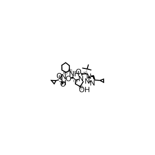 CC(C)(C)[C@@H](C(=O)N1C[C@H](O)C[C@H]1C(=O)N[C@@H]1CCCC[C@H]1NS(=O)(=O)C1CC1)n1cc(C2CC2)nn1